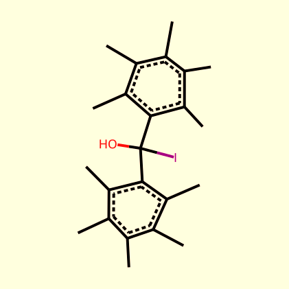 Cc1c(C)c(C)c(C(O)(I)c2c(C)c(C)c(C)c(C)c2C)c(C)c1C